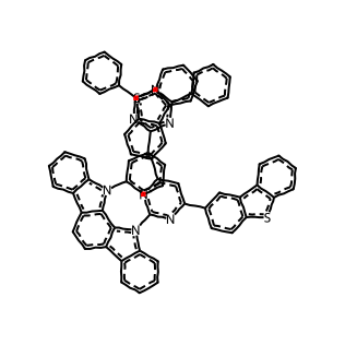 c1ccc(-c2nc(-c3ccccc3)nc(-c3cccc(-n4c5ccccc5c5ccc6c7ccccc7n(-c7nc(-c8ccc9sc%10ccccc%10c9c8)cc(-c8ccc9sc%10ccccc%10c9c8)n7)c6c54)c3)n2)cc1